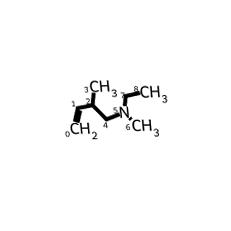 C=CC(C)CN(C)CC